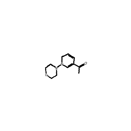 CC(=O)C1=CN(N2CCOCC2)CC=C1